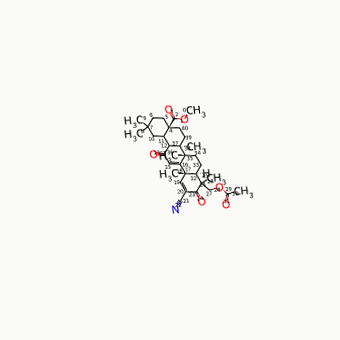 COC(=O)[C@]12CCC(C)(C)CC1C1C(=O)C=C3[C@@]4(C)C=C(C#N)C(=O)C(C)(COC(C)=O)[C@@H]4CC[C@@]3(C)[C@]1(C)CC2